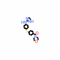 O=C(c1ccc(Sc2ccc(NC3=NCCN3)cc2)cc1)N1CCOCC1